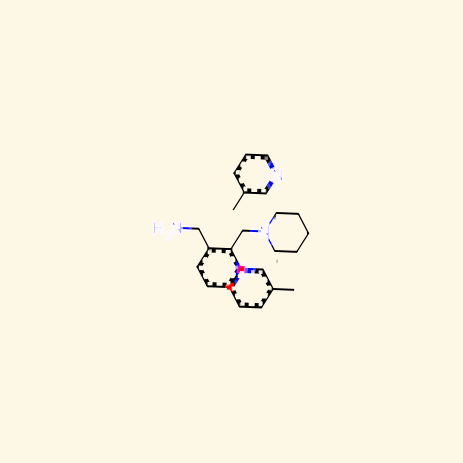 Cc1cccnc1[C@H]1CCC[C@@H](c2ncccc2C)N1Cc1ccccc1CN